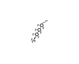 C=CCCc1cc(F)c(-c2cc(F)c(-c3cc(F)c(C#CC(F)(F)F)c(F)c3)c(F)c2)c(F)c1